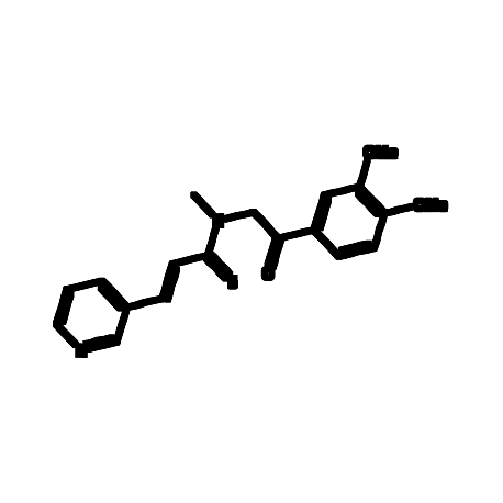 COc1ccc(C(=O)CN(C)C(=S)/C=C/c2cccnc2)cc1OC